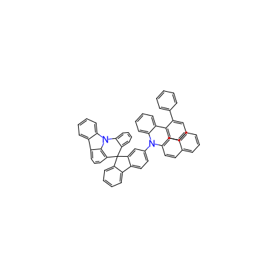 c1ccc(-c2ccccc2-c2ccccc2N(c2ccc3c(c2)C2(c4ccccc4-3)c3ccccc3-n3c4ccccc4c4cccc2c43)c2ccc3ccccc3c2)cc1